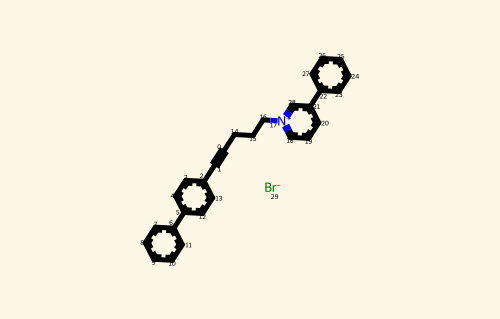 C(#Cc1ccc(-c2ccccc2)cc1)CCC[n+]1cccc(-c2ccccc2)c1.[Br-]